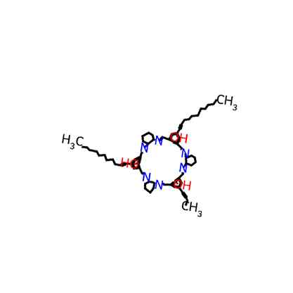 CCC#Cc1cc2c(O)c(c1)/C=N/C1CCCCC1/N=C/c1cc(C#CCCCCCCCCCC)cc(c1O)/C=N/C1CCCCC1/N=C/c1cc(C#CCCCCCCCCCC)cc(c1O)/C=N/C1CCCCC1/N=C/2